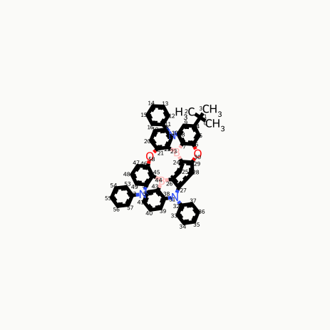 CC(C)(C)c1cc2c3c(c1)N(c1ccccc1)c1cccc4c1B3c1cc3c(cc1O2)N(c1ccccc1)c1cccc2c1B3c1c(cccc1N2c1ccccc1)O4